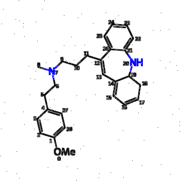 COc1ccc(CCN(C)CCCC2=CC3=CC=CCC3Nc3ccccc32)cc1